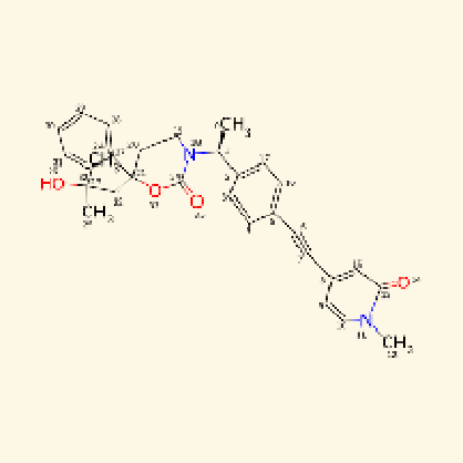 C[C@@H](c1ccc(C#Cc2ccn(C)c(=O)c2)cc1)N1CC[C@](CC(C)(C)O)(c2ccccc2)OC1=O